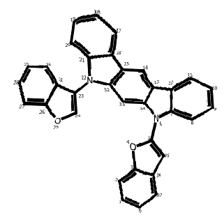 c1ccc2oc(-n3c4ccccc4c4cc5c6ccccc6n(-c6coc7ccccc67)c5cc43)cc2c1